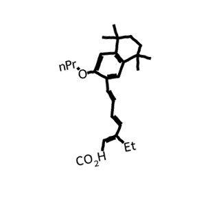 CCCOc1cc2c(cc1C=CC=CC(=CC(=O)O)CC)C(C)(C)CCC2(C)C